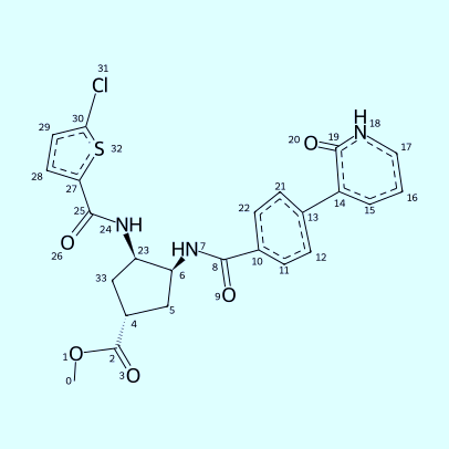 COC(=O)[C@H]1C[C@H](NC(=O)c2ccc(-c3ccc[nH]c3=O)cc2)[C@H](NC(=O)c2ccc(Cl)s2)C1